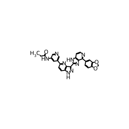 CCC(=O)Nc1cncc(-c2ccc3[nH]nc(-c4nc5c(-c6ccc7c(c6)OCO7)nccc5[nH]4)c3n2)c1